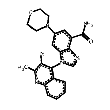 CCc1c(C)nc2ccccc2c1-n1cnc2c(C(N)=O)cc(N3CCOCC3)cc21